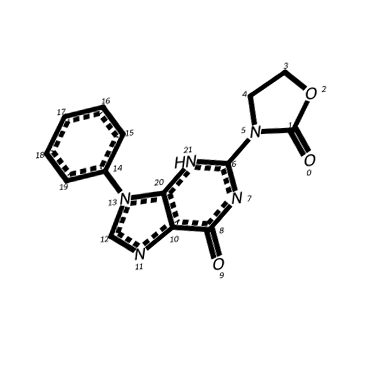 O=C1OCCN1c1nc(=O)c2ncn(-c3ccccc3)c2[nH]1